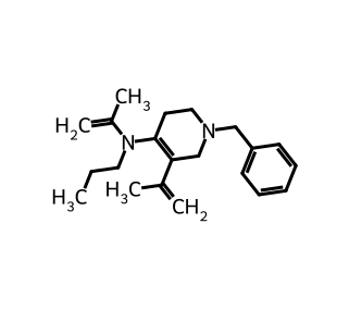 C=C(C)C1=C(N(CCC)C(=C)C)CCN(Cc2ccccc2)C1